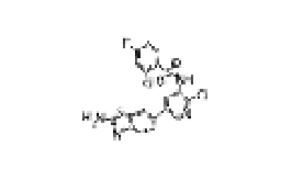 Nc1nc2ccc(-c3cnc(Cl)c(NS(=O)(=O)c4ccc(F)cc4Cl)c3)cc2s1